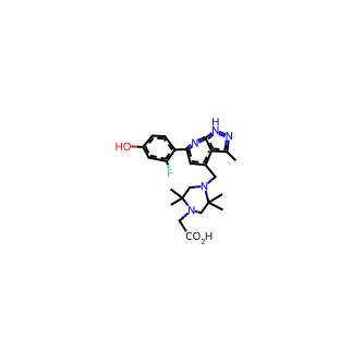 Cc1n[nH]c2nc(-c3ccc(O)cc3F)cc(CN3CC(C)(C)N(CC(=O)O)CC3(C)C)c12